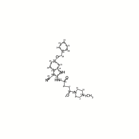 CN1CCN(C(=O)CCC(=O)Nc2[nH]c3cc(OCc4ccccc4)ccc3c2C#N)CC1